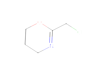 ClCC1=NCCCO1